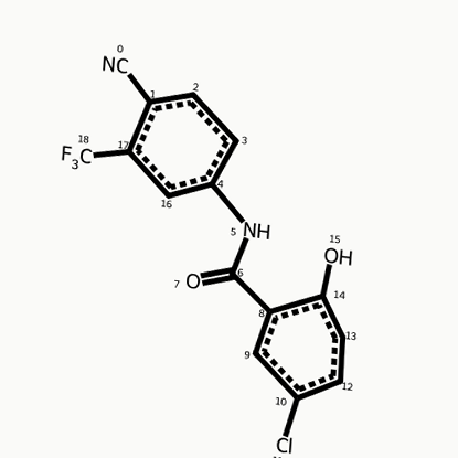 N#Cc1ccc(NC(=O)c2cc(Cl)ccc2O)cc1C(F)(F)F